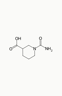 NC(=O)N1CCCC(C(=O)O)C1